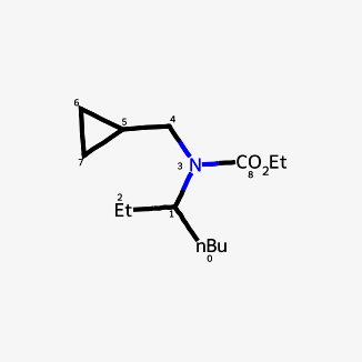 CCCCC(CC)N(CC1CC1)C(=O)OCC